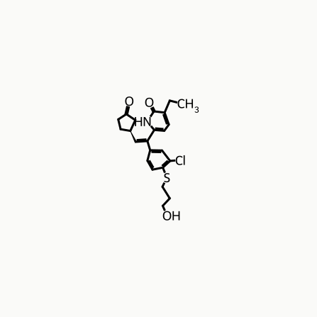 CCc1ccc(/C(=C\[C@H]2CCC(=O)C2)c2ccc(SCCCO)c(Cl)c2)[nH]c1=O